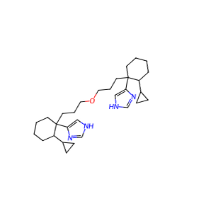 c1nc(C2(CCCOCCCC3(c4c[nH]cn4)CCCCC3C3CC3)CCCCC2C2CC2)c[nH]1